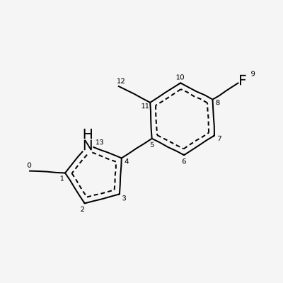 Cc1ccc(-c2ccc(F)cc2C)[nH]1